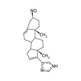 C[C@]12CC[C@H](N=O)CC1=CCC1C2CC[C@]2(C)C(c3c[nH]cn3)=CCC12